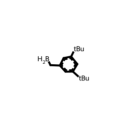 BCc1cc(C(C)(C)C)cc(C(C)(C)C)c1